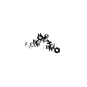 CC(C)(CNC(=O)c1cncc(-c2noc(C(F)(F)F)n2)c1)c1nc(-c2ccccc2)n[nH]1